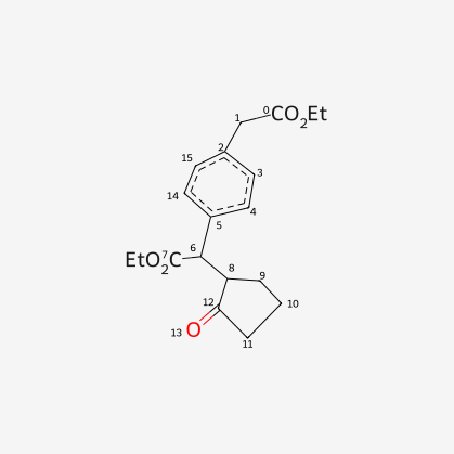 CCOC(=O)Cc1ccc(C(C(=O)OCC)C2CCCC2=O)cc1